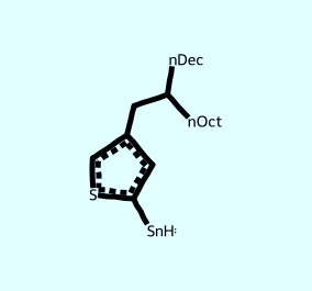 CCCCCCCCCCC(CCCCCCCC)Cc1cs[c]([SnH])c1